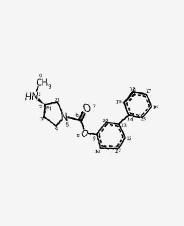 CN[C@@H]1CCN(C(=O)Oc2cccc(-c3ccccc3)c2)C1